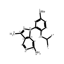 CSc1ccc(OC(F)F)c(-n2nc(C)c3cnc(N)cc32)c1